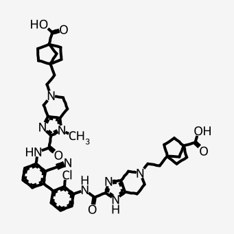 Cn1c(C(=O)Nc2cccc(-c3cccc(NC(=O)c4nc5c([nH]4)CCN(CCC46CCC(C(=O)O)(CC4)C6)C5)c3Cl)c2C#N)nc2c1CCN(CCC13CCC(C(=O)O)(CC1)C3)C2